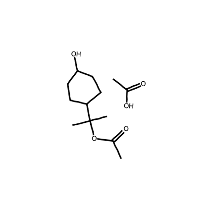 CC(=O)O.CC(=O)OC(C)(C)C1CCC(O)CC1